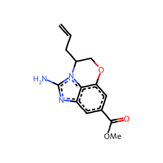 C=CCC1COc2cc(C(=O)OC)cc3nc(N)n1c23